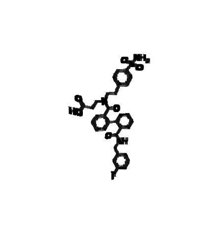 NS(=O)(=O)c1ccc(CCN(CCC(=O)O)C(=O)c2ccccc2-c2ccccc2C(=O)NCc2cccc(F)c2)cc1